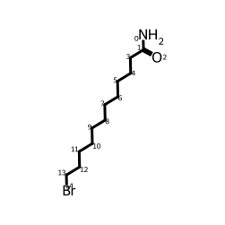 NC(=O)CCCCCCCCCCCBr